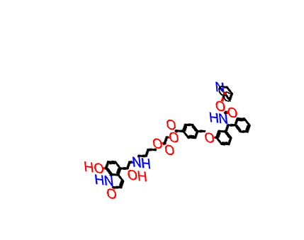 O=C(COC(=O)c1ccc(COc2cccc(C(NC(=O)OC3CN4CCC3CC4)c3ccccc3)c2)cc1)OCCCCNCC(O)c1ccc(O)c2[nH]c(=O)ccc12